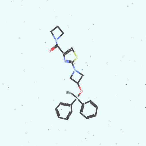 CC(C)(C)[Si](OC1CN(c2nc(C(=O)N3CCC3)cs2)C1)(c1ccccc1)c1ccccc1